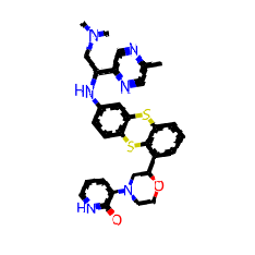 Cc1cnc(C(CN(C)C)Nc2ccc3c(c2)Sc2cccc(C4CN(c5ccc[nH]c5=O)CCO4)c2S3)cn1